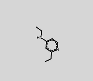 CCNc1ccnc(CC)c1